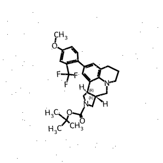 COc1ccc(-c2cc3c4c(c2)[C@@H]2CN(C(=O)OC(C)(C)C)C[C@H]2CN4CCC3)c(C(F)(F)F)c1